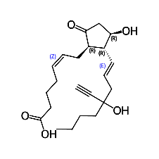 C#CC(O)(C/C=C/[C@H]1[C@H](O)CC(=O)[C@@H]1C/C=C\CCCC(=O)O)CCCC